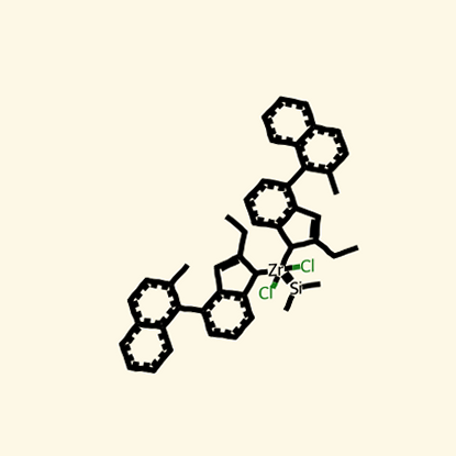 CCC1=Cc2c(-c3c(C)ccc4ccccc34)cccc2[CH]1[Zr]([Cl])([Cl])([CH]1C(CC)=Cc2c(-c3c(C)ccc4ccccc34)cccc21)=[Si](C)C